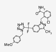 COc1ccc(Cn2nnnc2C(F)(F)c2ccc3c(C)nn(Cc4c(Cl)cccc4C(N)=O)c3c2)cc1